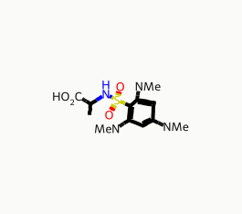 CNc1cc(NC)c(S(=O)(=O)NC(C)C(=O)O)c(NC)c1